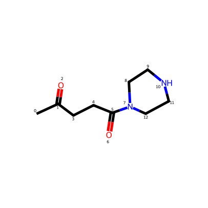 CC(=O)CCC(=O)N1CCNCC1